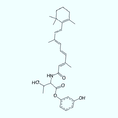 CC(C=CC1=C(C)CCCC1(C)C)=CC=CC(C)=CC(=O)NC(C(=O)Oc1cccc(O)c1)C(C)O